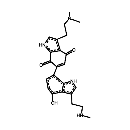 CNCCc1c[nH]c2c(C3=CC(=O)c4c(CCN(C)C)c[nH]c4C3=O)ccc(O)c12